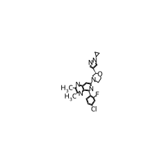 Cc1nc2cc(N3CCO[C@H](c4cnn(C5CC5)c4)C3)nc(-c3ccc(Cl)cc3F)c2nc1C